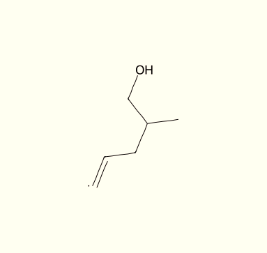 [CH]=CCC(C)CO